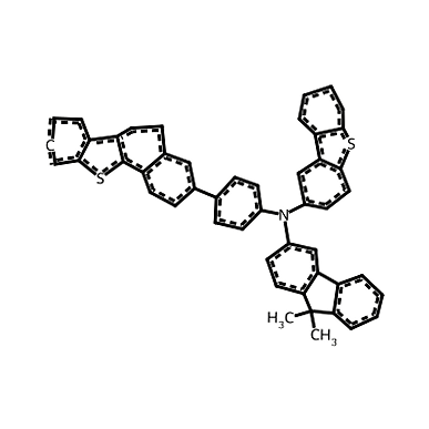 CC1(C)c2ccccc2-c2cc(N(c3ccc(-c4ccc5c(ccc6c7ccccc7sc56)c4)cc3)c3ccc4sc5ccccc5c4c3)ccc21